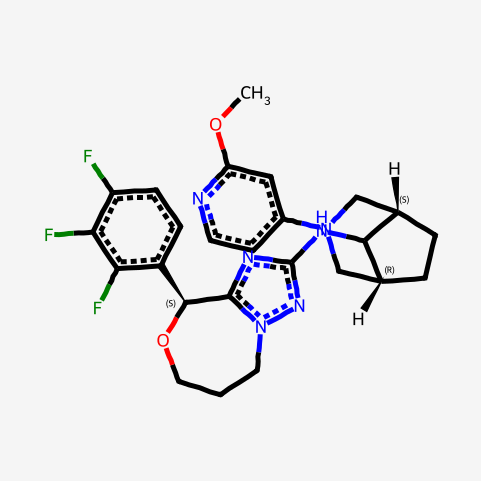 COc1cc(N2C[C@H]3CC[C@@H](C2)C3Nc2nc3n(n2)CCCO[C@H]3c2ccc(F)c(F)c2F)ccn1